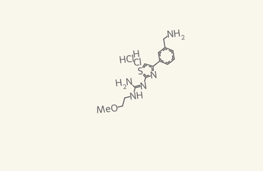 COCCN/C(N)=N/c1nc(-c2cccc(CN)c2)cs1.Cl.Cl